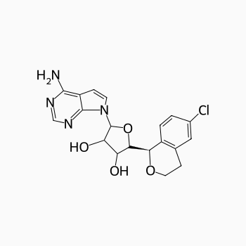 Nc1ncnc2c1ccn2C1OC([C@@H]2OCCc3cc(Cl)ccc32)C(O)C1O